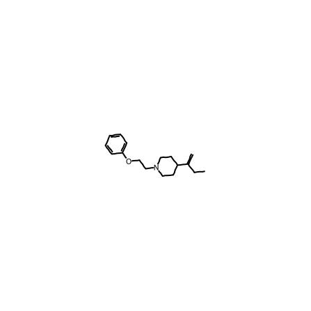 C=C(CC)C1CCN(CCOc2ccccc2)CC1